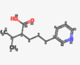 CC(C)C(CCCc1cccnc1)C(=O)O